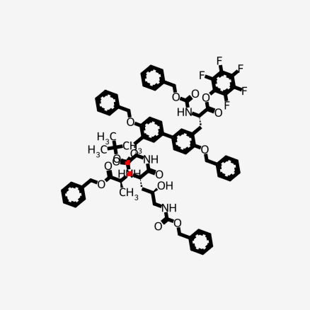 C[C@H](NC(=O)[C@H](Cc1cc(-c2ccc(OCc3ccccc3)c(C[C@H](NC(=O)OCc3ccccc3)C(=O)Oc3c(F)c(F)c(F)c(F)c3F)c2)ccc1OCc1ccccc1)NC(=O)[C@H](C[C@@H](O)CNC(=O)OCc1ccccc1)NC(=O)OC(C)(C)C)C(=O)OCc1ccccc1